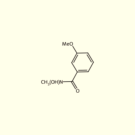 COc1cccc(C(=O)N(C)O)c1